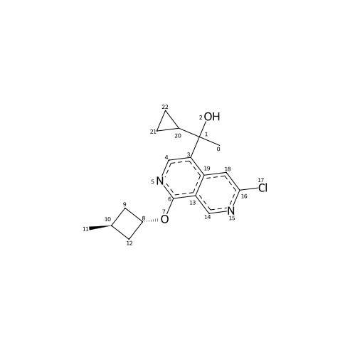 CC(O)(c1cnc(O[C@H]2C[C@H](C)C2)c2cnc(Cl)cc12)C1CC1